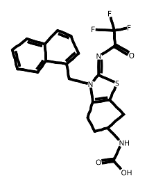 O=C(O)NC1CCc2c(sc(=NC(=O)C(F)(F)F)n2Cc2cccc3ccccc23)C1